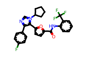 O=C(Nc1ccccc1C(F)(F)F)c1ccc(-c2c(-c3ccc(F)cc3)ncn2C2CCCC2)o1